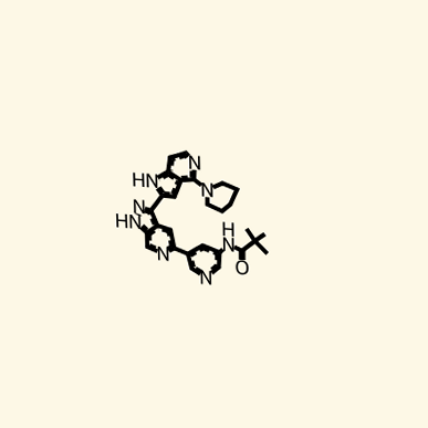 CC(C)(C)C(=O)Nc1cncc(-c2cc3c(-c4cc5c(N6CCCCC6)nccc5[nH]4)n[nH]c3cn2)c1